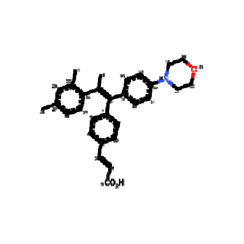 C/C(=C(/c1ccc(/C=C/C(=O)O)cc1)c1ccc(N2CCOCC2)cc1)c1ccc(C)cc1C